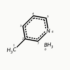 B.Cc1cccnc1